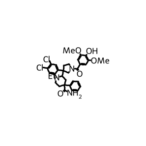 CCN1CCC(C(N)=O)(c2ccccc2)CC1C1(c2ccc(Cl)c(Cl)c2)CCN(C(=O)c2cc(OC)c(O)c(OC)c2)C1